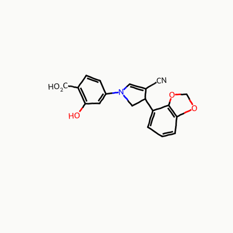 N#CC1=CN(c2ccc(C(=O)O)c(O)c2)CC1c1cccc2c1OCO2